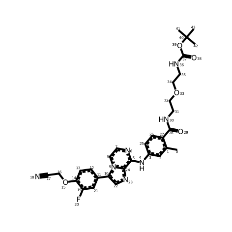 Cc1cc(Nc2nccn3c(-c4ccc(OCC#N)c(F)c4)cnc23)ccc1C(=O)NCCOCCNC(=O)OC(C)(C)C